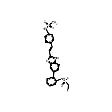 CS(=O)(=O)Nc1ccc(/C=C/c2nc3cc(-c4ccccc4NS(=O)(=O)CF)ccc3[nH]2)cc1